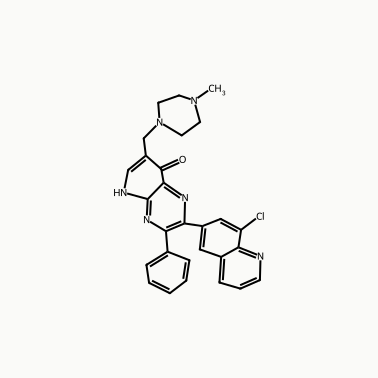 CN1CCN(Cc2c[nH]c3nc(-c4ccccc4)c(-c4cc(Cl)c5ncccc5c4)nc3c2=O)CC1